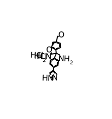 Cl.Cl.NCC(C(N)=O)(c1ccc(C=O)cc1)c1ccc(-c2cn[nH]c2)cc1